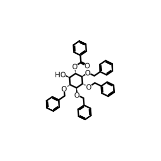 O=C(O[C@H]1[C@H](O)[C@@H](OCc2ccccc2)[C@H](OCc2ccccc2)[C@@H](OCc2ccccc2)[C@@H]1OCc1ccccc1)c1ccccc1